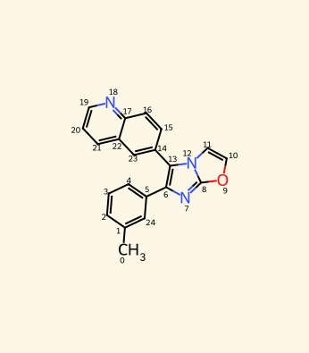 Cc1cccc(-c2nc3occn3c2-c2ccc3ncccc3c2)c1